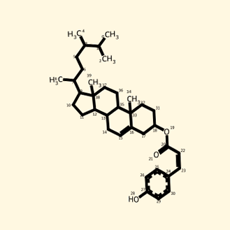 CC(C)C(C)CCC(C)C1CCC2C3CC=C4CC(OC(=O)/C=C\c5ccc(O)cc5)CCC4(C)C3CCC12C